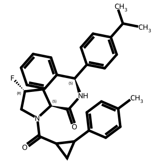 Cc1ccc(C2CC2C(=O)N2C[C@H](F)C[C@H]2C(=O)N[C@@H](c2ccccc2)c2ccc(C(C)C)cc2)cc1